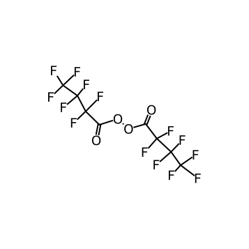 O=C(OOC(=O)C(F)(F)C(F)(F)C(F)(F)F)C(F)(F)C(F)(F)C(F)(F)F